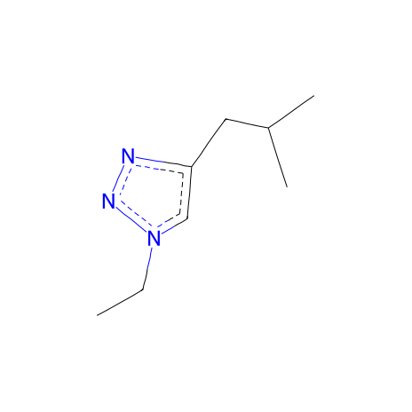 CCn1cc(CC(C)C)nn1